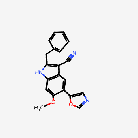 COc1cc2[nH]c(Cc3ccccc3)c(C#N)c2cc1-c1cnco1